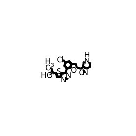 CC[C@H](O)c1cc2ncnc(-c3cc(Cl)cc4c3OC(c3onc5c3CNCC5)C4)c2s1